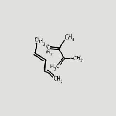 C=C(C)C(=C)C.C=CC=CC